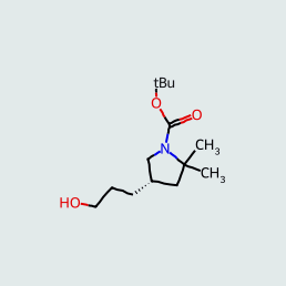 CC(C)(C)OC(=O)N1C[C@@H](CCCO)CC1(C)C